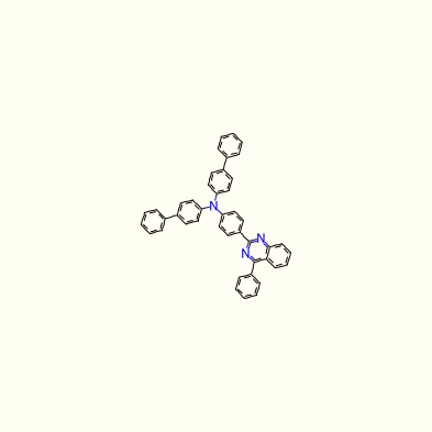 c1ccc(-c2ccc(N(c3ccc(-c4ccccc4)cc3)c3ccc(-c4nc(-c5ccccc5)c5ccccc5n4)cc3)cc2)cc1